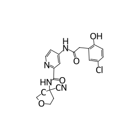 N#CC1(NC(=O)c2cc(NC(=O)Cc3cc(Cl)ccc3O)ccn2)CCOCC1